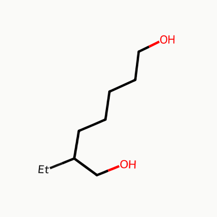 CCC(CO)CCCCCO